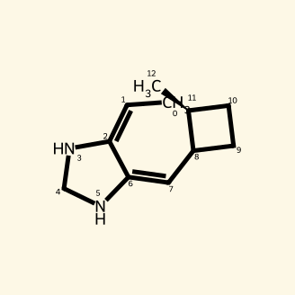 C/C=C1/NCN/C1=C/C1CC[C@@H]1C